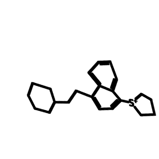 c1ccc2c([S+]3CCCC3)ccc(CCC3CCCCC3)c2c1